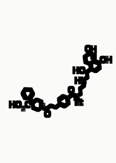 CCN(CCCNC[C@H](O)c1ccc(O)c2[nH]c(=O)ccc12)C(=O)c1ccc(CCC(=O)N2CCC(C(=O)O)(c3ccccc3)CC2)cc1